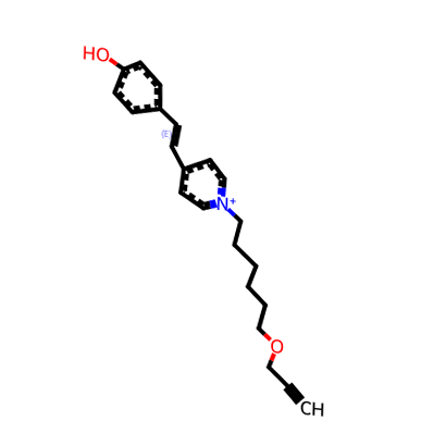 C#CCOCCCCCC[n+]1ccc(/C=C/c2ccc(O)cc2)cc1